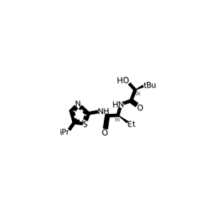 CC[C@H](NC(=O)[C@@H](O)C(C)(C)C)C(=O)Nc1ncc(C(C)C)s1